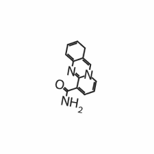 NC(=O)C1=CC=CN2C=C3CC=CC=C3N=C12